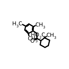 Cc1cc(C)c(CC(=O)C2CCCCC2(C)C(=O)O)c(C)c1